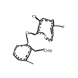 Cc1cccc(Oc2ccc(F)cc2Cl)c1C=O